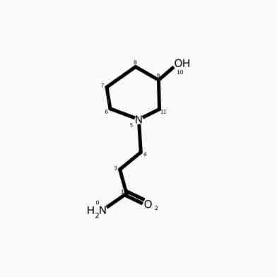 NC(=O)CCN1CCCC(O)C1